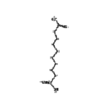 CC(=O)CCCCCCCCC(=O)O